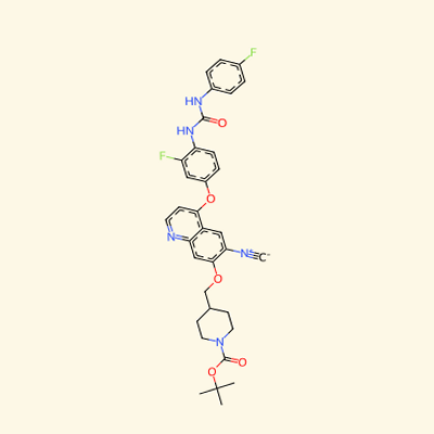 [C-]#[N+]c1cc2c(Oc3ccc(NC(=O)Nc4ccc(F)cc4)c(F)c3)ccnc2cc1OCC1CCN(C(=O)OC(C)(C)C)CC1